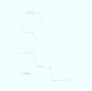 CCCc1cccc2c1Sc1ccccc1C2